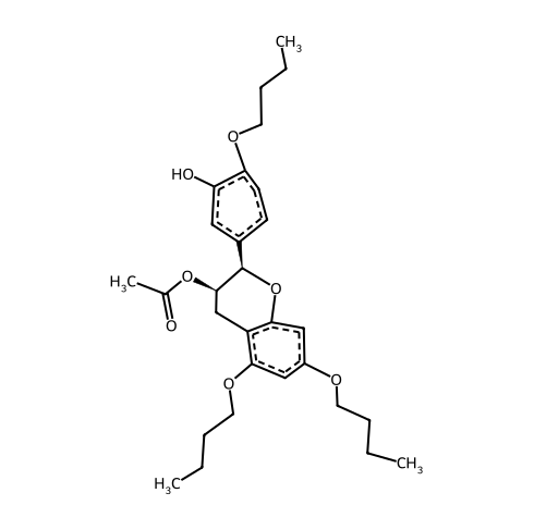 CCCCOc1cc(OCCCC)c2c(c1)O[C@H](c1ccc(OCCCC)c(O)c1)[C@H](OC(C)=O)C2